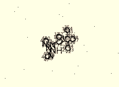 N=C(/N=C(\N=C\c1ccc2c3c(cccc13)-c1c-2c(-c2ccccc2)c2ccccc2c1-c1ccccc1)c1ccccn1)c1ccccn1